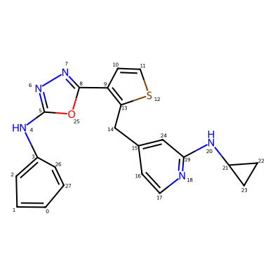 c1ccc(Nc2nnc(-c3ccsc3Cc3ccnc(NC4CC4)c3)o2)cc1